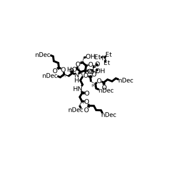 CCCCCCCCCCCCCC(=O)O[C@H](CCCCCCCCCCC)CC(=O)NCCC[C@]1(NC(=O)C[C@@H](CCCCCCCCCCC)OC(=O)CCCCCCCCCCCCC)[C@H](O)O[C@H](CO)[C@@H](OP(=O)(O)O)[C@]1(O)OC(=O)C[C@@H](CCCCCCCCCCC)OC(=O)CCCCCCCCCCCCC.CCN(CC)CC